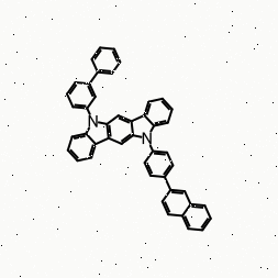 c1ccc(-c2cccc(-n3c4ccccc4c4cc5c(cc43)c3ccccc3n5-c3ccc(-c4ccc5ccccc5c4)cc3)c2)cc1